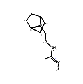 C/C=C(\C)[SiH2]OCC1C2CCC1CC2